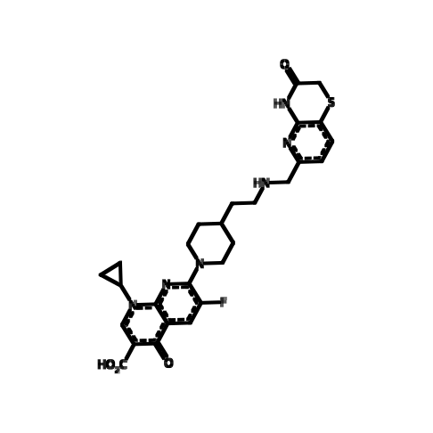 O=C1CSc2ccc(CNCCC3CCN(c4nc5c(cc4F)c(=O)c(C(=O)O)cn5C4CC4)CC3)nc2N1